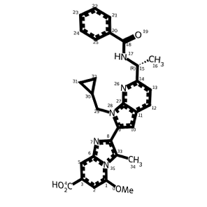 COc1cc(C(=O)O)cc2nc(-c3cc4ccc([C@@H](C)NC(=O)c5ccccc5)nc4n3CC3CC3)c(C)n12